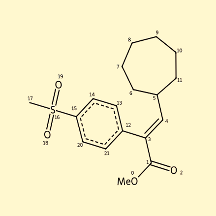 COC(=O)C(=CC1CCCCCC1)c1ccc(S(C)(=O)=O)cc1